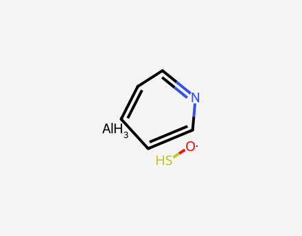 [AlH3].[O]S.c1ccncc1